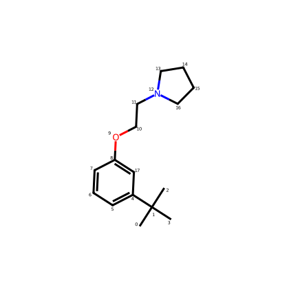 CC(C)(C)c1cccc(OCCN2CCCC2)c1